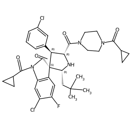 CC(C)(C)C[C@H]1N[C@@H](C(=O)N2CCN(C(=O)C3CC3)CC2)[C@H](c2cccc(Cl)c2)[C@@]12C(=O)N(C(=O)C1CC1)c1cc(Cl)c(F)cc12